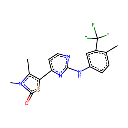 Cc1ccc(Nc2nccc(-c3sc(=O)n(C)c3C)n2)cc1C(F)(F)F